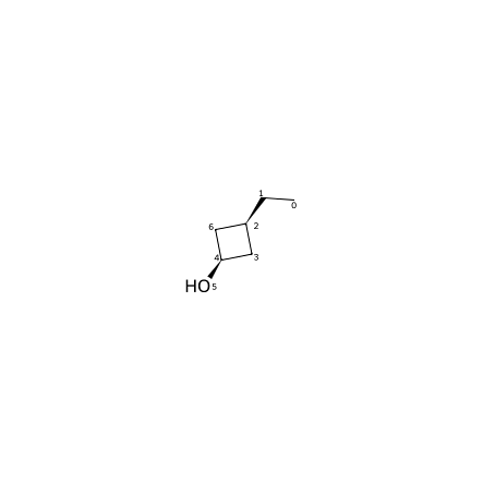 CC[C@H]1C[C@@H](O)C1